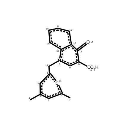 Cc1cc(C)cc(Cn2cc(C(=O)O)c(=O)c3ccccc32)c1